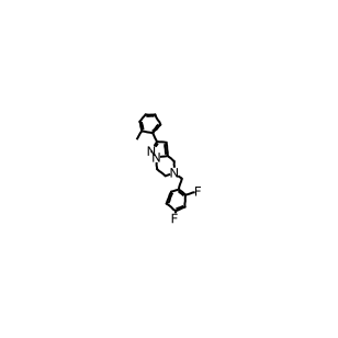 Cc1ccccc1-c1cc2n(n1)CCN(Cc1ccc(F)cc1F)C2